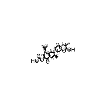 CC(CN1CCN(c2cc3c(cc2F)c(=O)c(OC(=O)O)cn3C2CC2)CC1)C(=O)O